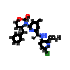 Cc1cc([C@@H](C)Nc2ccc(Cl)nc2C(=O)O)nc(N2C(=O)OCC[C@@H]2Cc2ccccc2)c1